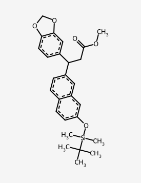 COC(=O)CC(c1ccc2c(c1)OCO2)c1ccc2ccc(O[Si](C)(C)C(C)(C)C)cc2c1